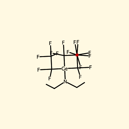 CC[N](CC)[Ge]([C](F)(F)C(F)(F)F)([C](F)(F)C(F)(F)F)[C](F)(F)C(F)(F)F